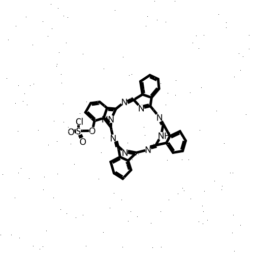 O=S(=O)(Cl)Oc1cccc2c3nc4nc(nc5[nH]c(nc6nc(nc([nH]3)c12)-c1ccccc1-6)c1ccccc51)-c1ccccc1-4